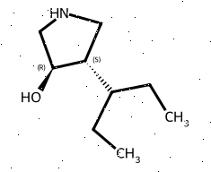 CCC(CC)[C@H]1CNC[C@@H]1O